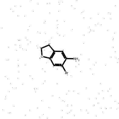 Nc1cc2c(cc1Br)OCC2